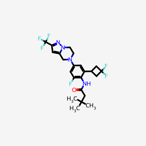 CC(C)(C)CC(=O)Nc1c(F)cc(N2CCn3nc(C(F)(F)F)cc3C2)cc1C1CC(F)(F)C1